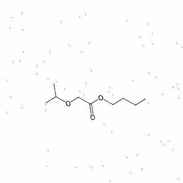 CCCCOC(=O)COC(C)C